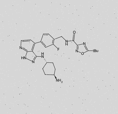 CC(C)(C)c1nc(C(=O)NCc2ccc(-c3ccnc4[nH]nc(N[C@H]5CC[C@H](N)CC5)c34)cc2F)no1